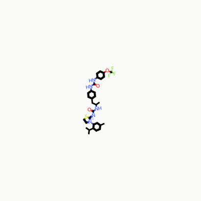 Cc1ccc(C(C)C)c(-n2ccs/c2=N\C(=O)NC(C)Cc2ccc(NC(=O)Nc3ccc(OC(F)(F)F)cc3)cc2)c1